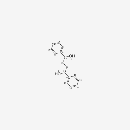 OC([CH]CC(O)c1ccccc1)c1ccccc1